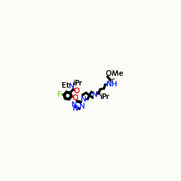 CCN(C(=O)c1cc(F)ccc1Oc1nncnc1N1CCC2(C1)CN([C@H](CCCN[C@@H](C)COC)C(C)C)C2)C(C)C